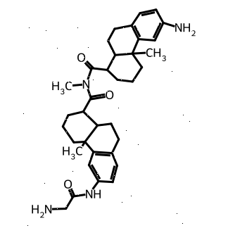 CN(C(=O)C1CCCC2(C)c3cc(N)ccc3CCC12)C(=O)C1CCCC2(C)c3cc(NC(=O)CN)ccc3CCC12